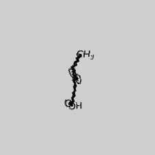 CCCCCCCCOC(=O)CCCCCCCCC(=O)O